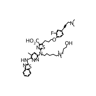 Cc1cc(N(CCCCC[N+](C)(C)CCCO)c2nc(C(=O)O)c(CCCOc3ccc(C#CCN(C)C)cc3F)s2)nnc1Nc1nc2ccccc2s1